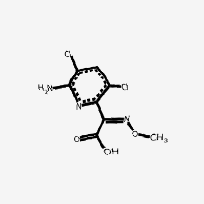 CON=C(C(=O)O)c1nc(N)c(Cl)cc1Cl